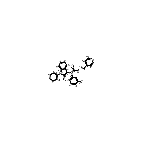 O=C1C(N(C(=O)COCc2ccncc2)c2cccc(F)c2)c2ccccc2N1C1CCCCC1